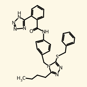 CCCCc1nnc(SCc2ccccc2)n1Cc1ccc(NC(=O)c2ccccc2-c2nnn[nH]2)cc1